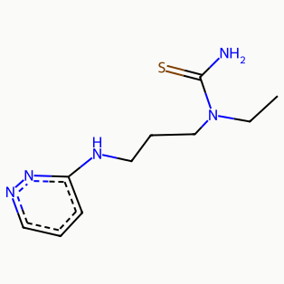 CCN(CCCNc1cccnn1)C(N)=S